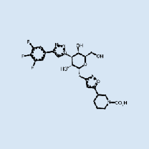 O=C(O)N1CCCC(c2cc(C[C@H]3O[C@H](CO)[C@H](O)[C@H](n4cc(-c5cc(F)c(F)c(F)c5)nn4)[C@H]3O)no2)C1